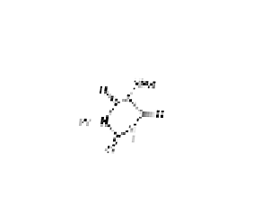 CNn1c(=O)[nH]c(=O)n(C(C)C)c1=O